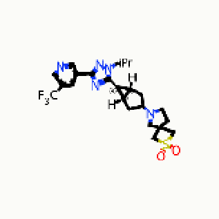 CC(C)n1nc(-c2cncc(C(F)(F)F)c2)nc1[C@H]1[C@@H]2CC(N3CCC4(C3)CS(=O)(=O)C4)C[C@@H]21